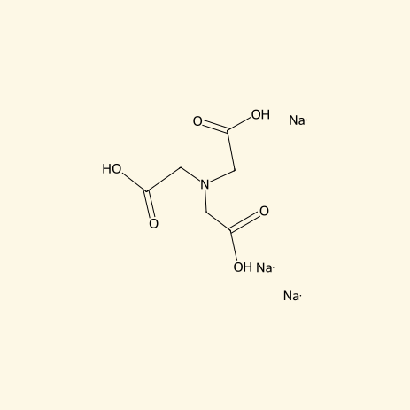 O=C(O)CN(CC(=O)O)CC(=O)O.[Na].[Na].[Na]